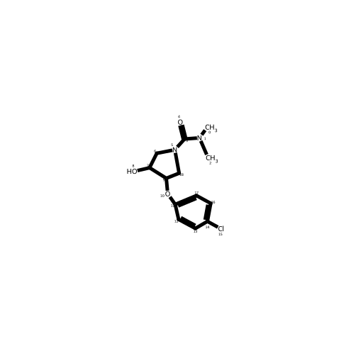 CN(C)C(=O)N1CC(O)C(Oc2ccc(Cl)cc2)C1